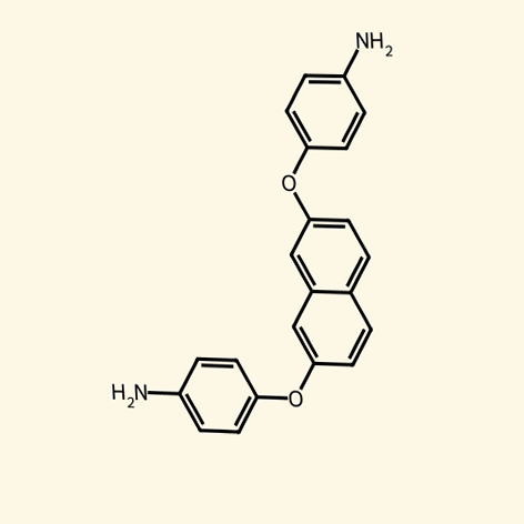 Nc1ccc(Oc2ccc3ccc(Oc4ccc(N)cc4)cc3c2)cc1